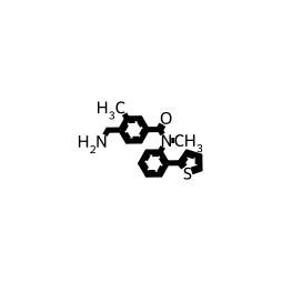 Cc1cc(C(=O)N(C)c2ccccc2-c2cccs2)ccc1CN